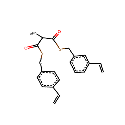 C=Cc1ccc(CSC(=O)C(CCC)C(=O)SCc2cccc(C=C)c2)cc1